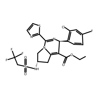 CCOC(=O)C1=C2C[C@H](NS(=O)(=O)CC(F)(F)F)CN2C(c2nccs2)=N[C@H]1c1ccc(F)cc1Cl